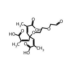 CC(=CC(C=C(C)C(=O)O)(C=C(C)C(=O)O)OCCOCC=O)C(=O)O